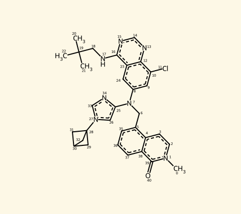 Cn1ccc2c(CN(c3cc(Cl)c4ncnc(NCC(C)(C)C)c4c3)c3cn(C45CC(C4)C5)cn3)cccc2c1=O